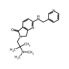 CN(C)C(C)(C)CN1Cc2nc(NCc3cccnc3)ccc2C1=O